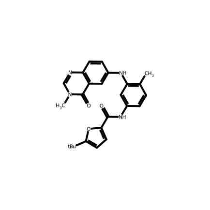 Cc1ccc(NC(=O)c2ccc(C(C)(C)C)o2)cc1Nc1ccc2ncn(C)c(=O)c2c1